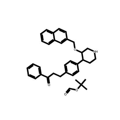 CC(C)(C)OC=O.O=C(CCc1ccc(C2CCNCC2OCc2ccc3ccccc3c2)cc1)c1ccccc1